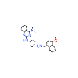 COc1ccc(CNC[C@H]2CC[C@@H](Nc3nc(N(C)C)c4ccccc4n3)CC2)c2ccccc12